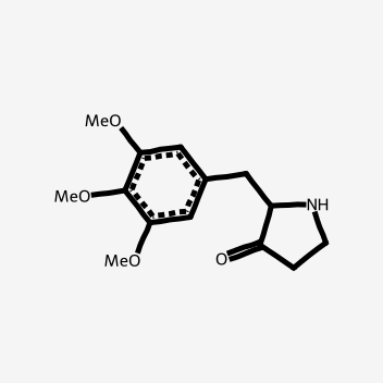 COc1cc(CC2NCCC2=O)cc(OC)c1OC